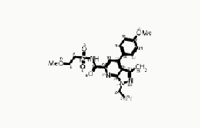 COCCS(=O)(=O)NC(=O)c1cc(-c2ccc(OC)cc2)c2c(C)nn(CC(C)C)c2n1